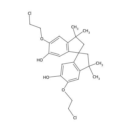 CC1(C)CC2(CC(C)(C)c3cc(OCCCl)c(O)cc32)c2cc(O)c(OCCCl)cc21